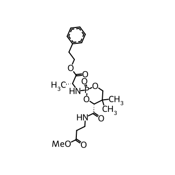 COC(=O)CCNC(=O)[C@@H]1OP(=O)(N[C@H](C)C(=O)OCCc2ccccc2)OCC1(C)C